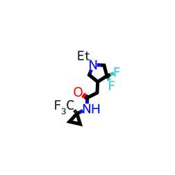 CCN1CC(CC(=O)NC2(C(F)(F)F)CC2)C(F)(F)C1